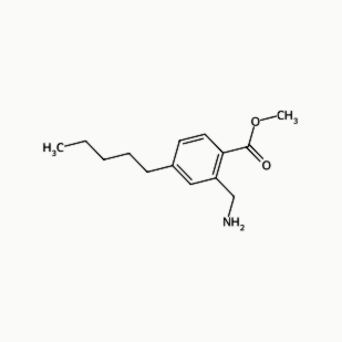 CCCCCc1ccc(C(=O)OC)c(CN)c1